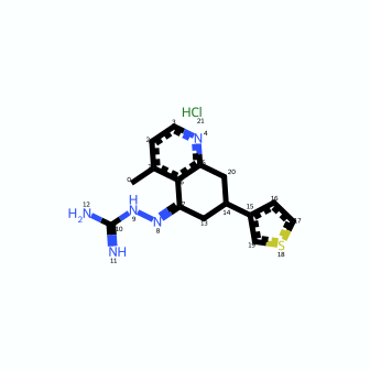 Cc1ccnc2c1/C(=N\NC(=N)N)CC(c1ccsc1)C2.Cl